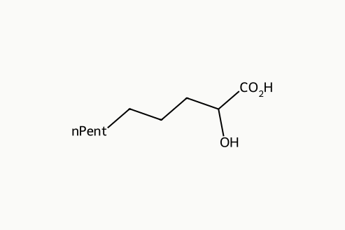 CCCCCCCCC(O)C(=O)O